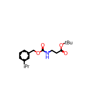 CC(C)c1cccc(COC(=O)NCCC(=O)OC(C)(C)C)c1